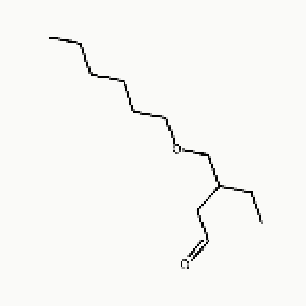 [CH2]CCCCCOCC(CC)CC=O